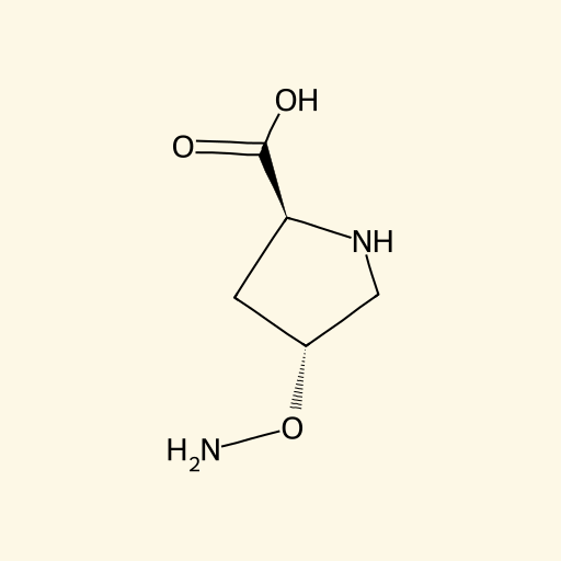 NO[C@H]1CN[C@H](C(=O)O)C1